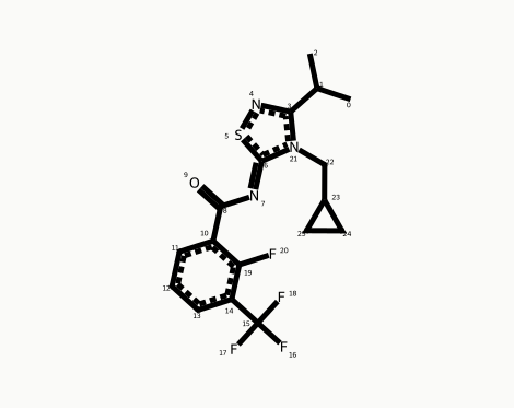 CC(C)c1ns/c(=N\C(=O)c2cccc(C(F)(F)F)c2F)n1CC1CC1